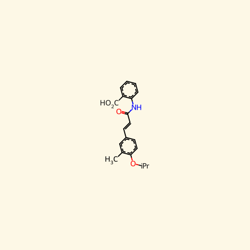 Cc1cc(/C=C/C(=O)Nc2ccccc2C(=O)O)ccc1OC(C)C